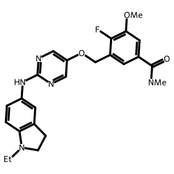 CCN1CCc2cc(Nc3ncc(OCc4cc(C(=O)NC)cc(OC)c4F)cn3)ccc21